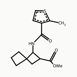 COC(=O)C1CC2(CCC2)C1NC(=O)c1ccsc1C